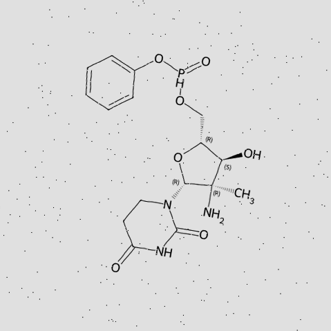 C[C@@]1(N)[C@H](O)[C@@H](CO[PH](=O)Oc2ccccc2)O[C@H]1N1CCC(=O)NC1=O